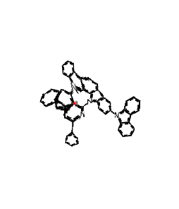 c1ccc(-c2cc(-c3ccccc3)nc(-n3c4ccc(-n5c6ccccc6c6ccccc65)cc4c4ccc5c6ccccc6n(-c6ccccc6)c5c43)n2)cc1